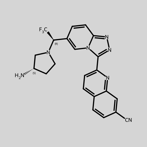 N#Cc1ccc2ccc(-c3nnc4ccc([C@@H](N5CC[C@H](N)C5)C(F)(F)F)cn34)nc2c1